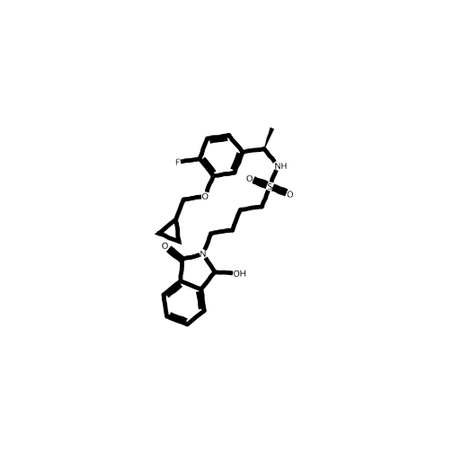 C[C@@H](NS(=O)(=O)CCCCN1C(=O)c2ccccc2C1O)c1ccc(F)c(OCC2CC2)c1